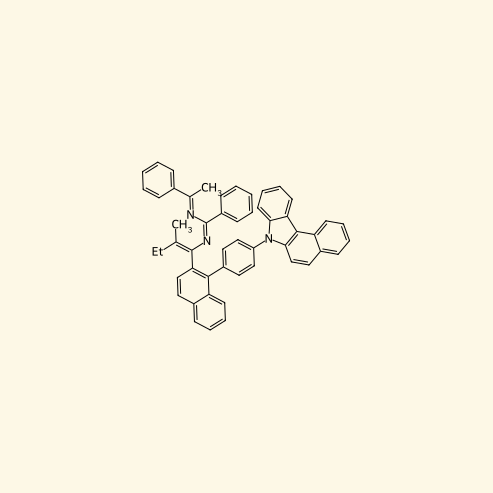 CC/C(C)=C(/N=C(\N=C(/C)c1ccccc1)c1ccccc1)c1ccc2ccccc2c1-c1ccc(-n2c3ccccc3c3c4ccccc4ccc32)cc1